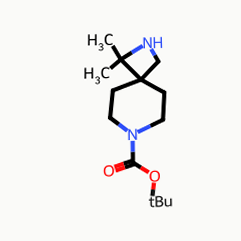 CC(C)(C)OC(=O)N1CCC2(CC1)CNC2(C)C